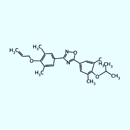 C=CCOc1c(C)cc(-c2noc(-c3cc(C)c(OC(C)C)c(C)c3)n2)cc1C